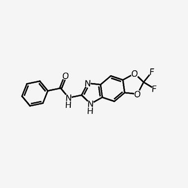 O=C(Nc1nc2cc3c(cc2[nH]1)OC(F)(F)O3)c1ccccc1